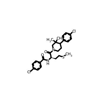 CSCC[C@@H](NC(=O)c1ccc(Cl)cc1)C(=O)N1CCC(c2ccc(Cl)cc2)C(C)(C)C1